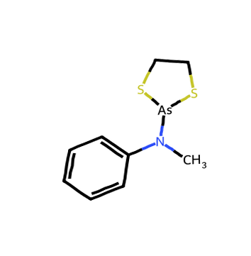 CN(c1ccccc1)[As]1SCCS1